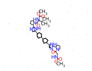 COC(=O)NCC(=O)N1CCCC1c1ncc(-c2ccc(-c3ccc(-c4cnc(C5CCCN5C(=O)C(NC(=O)OC)C(C)C)[nH]4)cc3)cc2)[nH]1